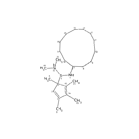 CC1=C[C](C)([Ti]([NH]C2CCCCCCCCCCC2)[SiH](C)C)C(C)=C1C